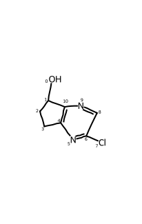 OC1CCc2nc(Cl)cnc21